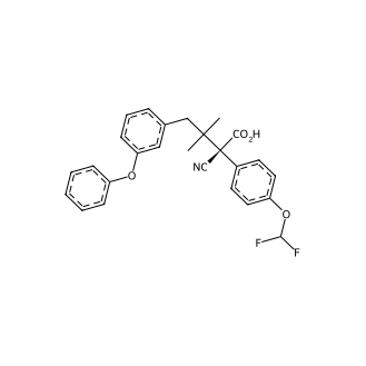 CC(C)(Cc1cccc(Oc2ccccc2)c1)[C@](C#N)(C(=O)O)c1ccc(OC(F)F)cc1